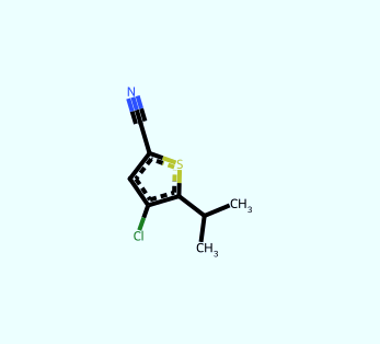 CC(C)c1sc(C#N)cc1Cl